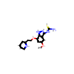 CC(C)Oc1cc(OCCc2ccccn2)c2[nH]nc(NC(N)=S)c2c1